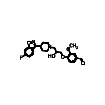 COc1cc(C=O)ccc1OCC(O)CN1CCC(c2noc3cc(F)ccc23)CC1